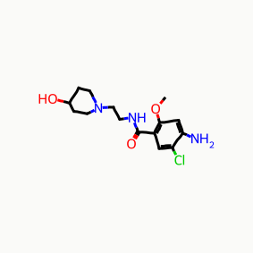 COc1cc(N)c(Cl)cc1C(=O)NCCN1CCC(O)CC1